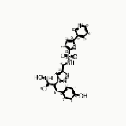 O=C(NO)C(Cc1ccc(O)cc1)n1cc(CNS(=O)(=O)c2ccc(-c3cccnc3)s2)nn1